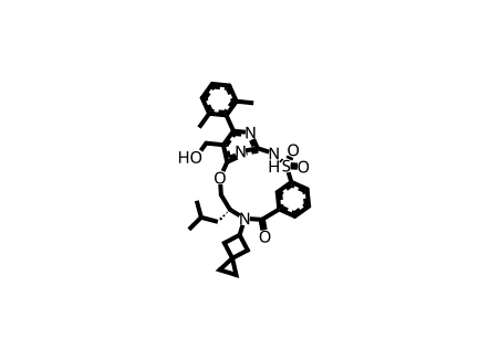 Cc1cccc(C)c1-c1nc2nc(c1CO)OC[C@@H](CC(C)C)N(C1CC3(CC3)C1)C(=O)c1cccc(c1)S(=O)(=O)N2